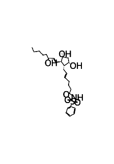 CCCCCC(O)C=C[C@@H]1[C@@H](CC=CCCCC(=O)NS(=O)(=O)c2ccccc2)[C@@H](O)C[C@H]1O